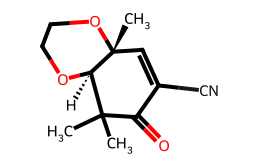 CC1(C)C(=O)C(C#N)=C[C@@]2(C)OCCO[C@H]12